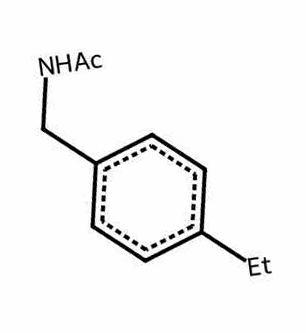 CCc1ccc(CNC(C)=O)cc1